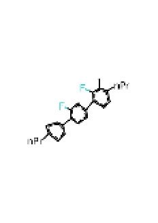 CCCc1ccc(-c2ccc(-c3ccc(CCC)c(C)c3F)cc2F)cc1